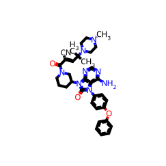 CN1CCN(C(C)(C)C=C(C#N)C(=O)N2CCCC(n3c(=O)n(-c4ccc(Oc5ccccc5)cc4)c4c(N)ncnc43)C2)CC1